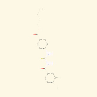 CCCCOC(=O)c1ccc(NC(=S)NC(=O)c2ccc(Cl)c(Cl)c2)cc1